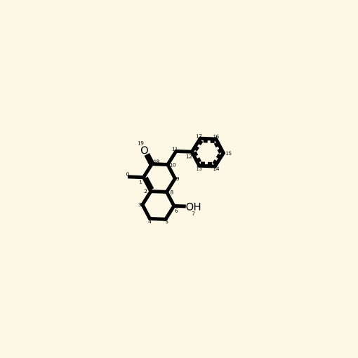 CC1=C2CCCC(O)C2CC(Cc2ccccc2)C1=O